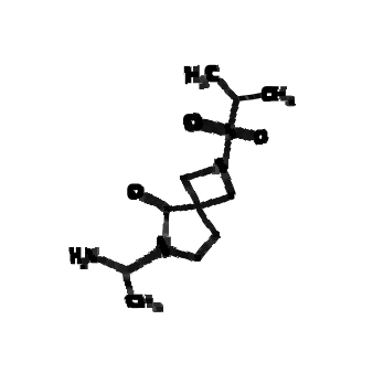 CC(N)N1CCC2(CN(S(=O)(=O)C(C)C)C2)C1=O